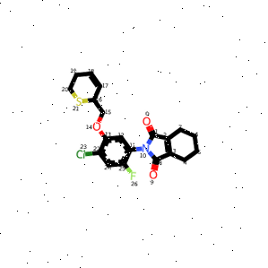 O=C1C2=C(CCCC2)C(=O)N1c1cc(OCC2C=CCCS2)c(Cl)cc1F